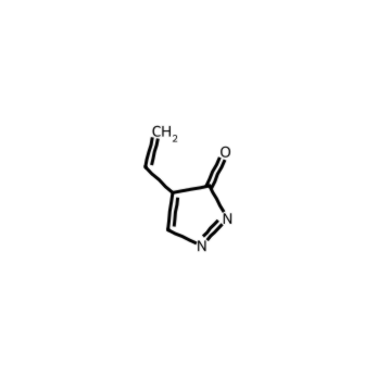 C=CC1=CN=NC1=O